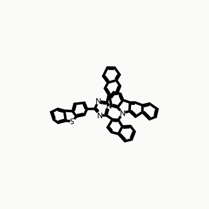 c1ccc2cc(-c3nc(-c4ccc5c(c4)sc4ccccc45)nc(-c4ccc5ccccc5c4-n4c5ccccc5c5cc6ccccc6cc54)n3)ccc2c1